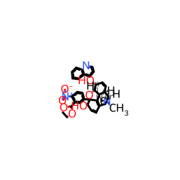 CN1CC[C@]23C4=C5C=CC(O)C4(c4ccc([N+](=O)[O-])c(C6OCCO6)c4)O[C@H]2[C@@H](O)C=C[C@H]3[C@H]1C5.c1ccc2ncccc2c1